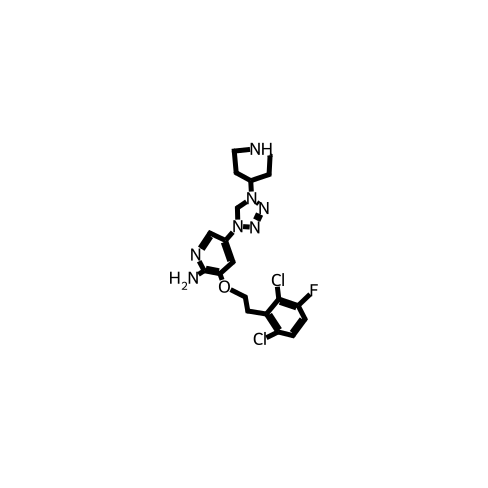 Nc1ncc(N2CN(C3CCNCC3)N=N2)cc1OCCc1c(Cl)ccc(F)c1Cl